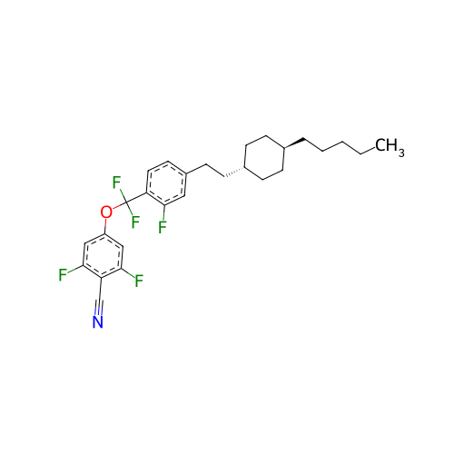 CCCCC[C@H]1CC[C@H](CCc2ccc(C(F)(F)Oc3cc(F)c(C#N)c(F)c3)c(F)c2)CC1